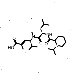 C/C(=C\[C@H](C(C)C)N(C)C(=O)[C@H](CC(C)C)NC(=O)C1CCCCN1C(C)C)C(=O)O